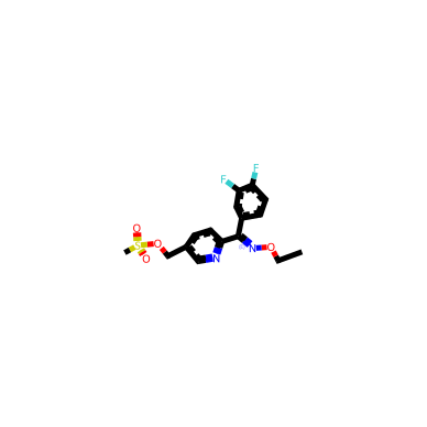 CCO/N=C(\c1ccc(F)c(F)c1)c1ccc(COS(C)(=O)=O)cn1